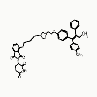 CCC(=C(c1ccc(O)cc1)c1ccc(OCCN2CCC(CCCCc3cccc4c3C(=O)N(C3CCC(=O)NC3=O)C4=O)C2)cc1)c1ccccc1